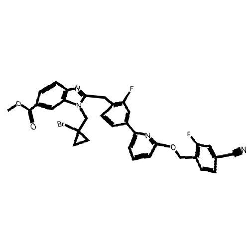 COC(=O)c1ccc2nc(Cc3ccc(-c4cccc(OCc5ccc(C#N)cc5F)n4)cc3F)n(CC3(Br)CC3)c2c1